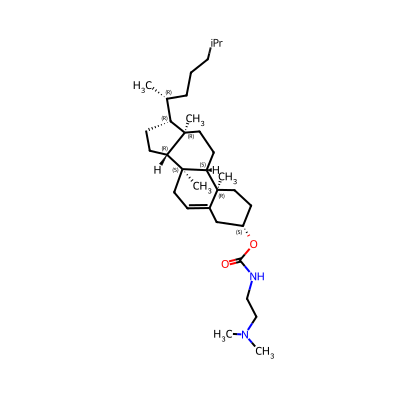 CC(C)CCC[C@@H](C)[C@H]1CC[C@@H]2[C@]1(C)CC[C@H]1[C@@]2(C)CC=C2C[C@@H](OC(=O)NCCN(C)C)CC[C@@]21C